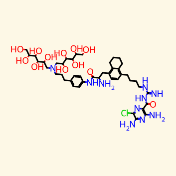 N=C(NCCCCc1ccc(CC(N)C(=O)Nc2ccc(CCCN(CC(O)C(O)C(O)C(O)CO)CC(O)C(O)C(O)C(O)CO)cc2)c2c1CCCC2)NC(=O)c1nc(Cl)c(N)nc1N